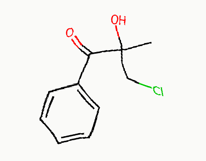 CC(O)(CCl)C(=O)c1ccccc1